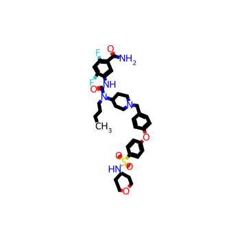 CCCCN(C(=O)Nc1cc(C(N)=O)c(F)cc1F)C1CCN(Cc2ccc(Oc3ccc(S(=O)(=O)NC4CCOCC4)cc3)cc2)CC1